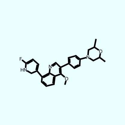 COc1c(-c2ccc(N3CC(C)OC(C)C3)cc2)cnc2c(C3=CC=C(F)NC3)cccc12